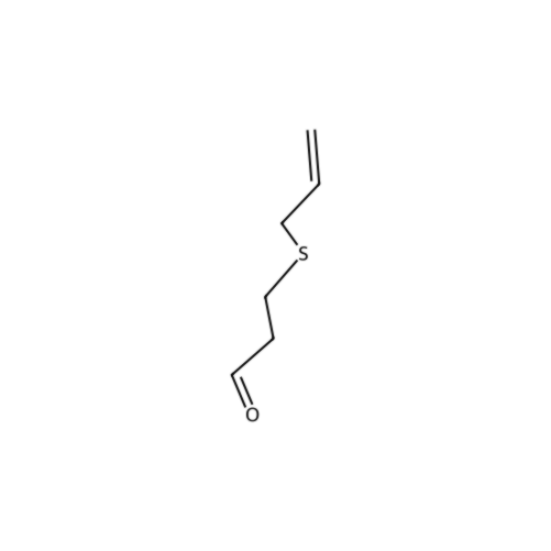 C=CCSCCC=O